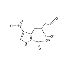 CCC(CC=O)Cc1c([N+](=O)[O-])c[nH]c1C(=O)O